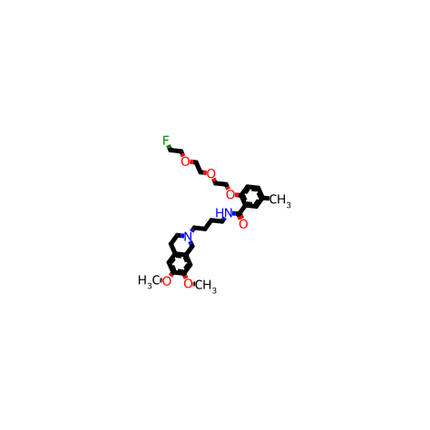 COc1cc2c(cc1OC)CN(CCCCNC(=O)c1cc(C)ccc1OCCOCCOCCF)CC2